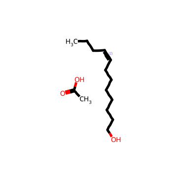 CC(=O)O.CCC/C=C\CCCCCCCO